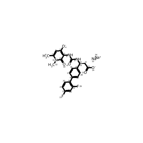 Cc1cc([O-])c(NC(=O)N[C@@H](CC(=O)[O-])c2ccc(-c3ccc(F)cc3F)cc2)c(=O)n1C.[Na+].[Na+]